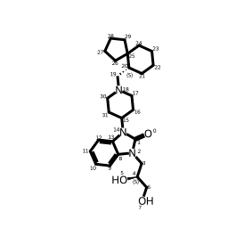 O=c1n(C[C@H](O)CO)c2ccccc2n1C1CCN(C[C@H]2CCCCC23CCCC3)CC1